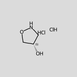 Cl.Cl.O[C@H]1CNOC1